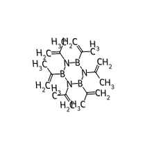 C=C(C)B1N(C(=C)C)B(C(=C)C)N(C(=C)C)B(C(=C)C)N1C(=C)C